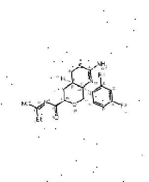 CC/C(C#N)=N\C(=O)[C@H]1C[C@H]2CSC(N)=N[C@@]2(c2ccc(F)cc2F)CO1